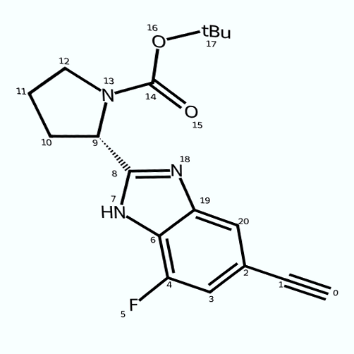 C#Cc1cc(F)c2[nH]c([C@@H]3CCCN3C(=O)OC(C)(C)C)nc2c1